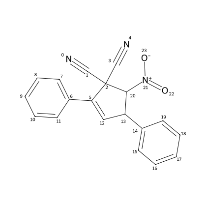 N#CC1(C#N)C(c2ccccc2)=CC(c2ccccc2)C1[N+](=O)[O-]